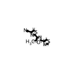 Cc1oc(-c2cscn2)nc1-c1nc(C#N)cs1